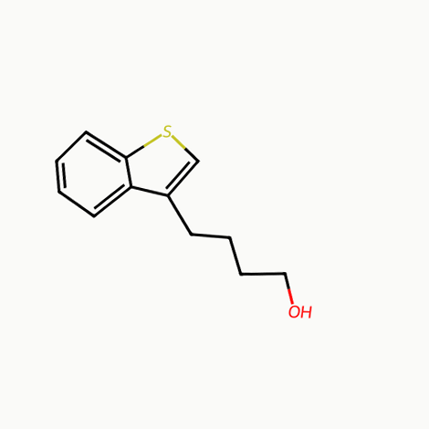 OCCCCc1csc2ccccc12